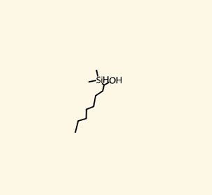 CCCCCCCC(O)[SiH](C)C